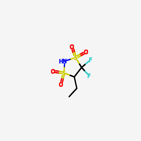 CCC1C(F)(F)S(=O)(=O)NS1(=O)=O